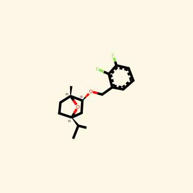 CC(C)[C@@]12CC[C@@](C)(O1)[C@@H](OCc1cccc(F)c1F)C2